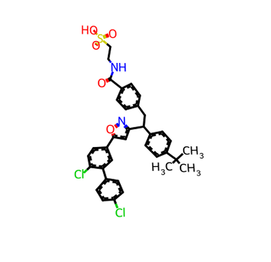 CC(C)(C)c1ccc(C(Cc2ccc(C(=O)NCCS(=O)(=O)O)cc2)c2cc(-c3ccc(Cl)c(-c4ccc(Cl)cc4)c3)on2)cc1